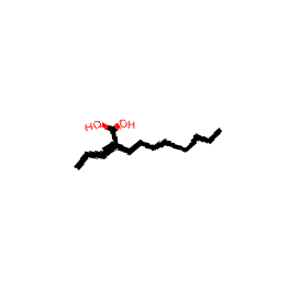 CCC=C(CCCCCCCC)C(O)O